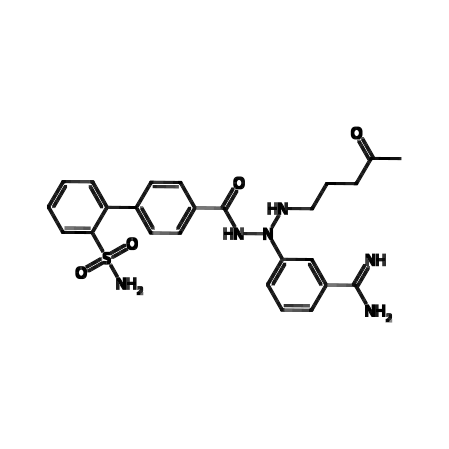 CC(=O)CCCNN(NC(=O)c1ccc(-c2ccccc2S(N)(=O)=O)cc1)c1cccc(C(=N)N)c1